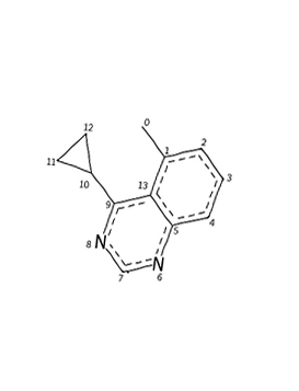 Cc1cccc2n[c]nc(C3CC3)c12